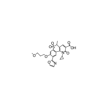 COCCCOc1cc2c(cc1-c1ncco1)-c1c(cc(C(=O)O)c(=O)n1C1CC1)C(C)S2(=O)=O